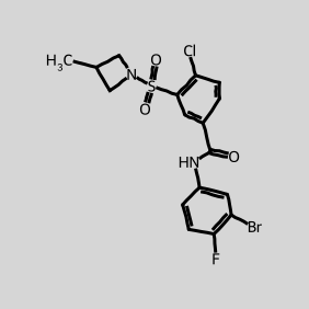 CC1CN(S(=O)(=O)c2cc(C(=O)Nc3ccc(F)c(Br)c3)ccc2Cl)C1